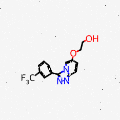 OCCOc1ccc2nnc(-c3cccc(C(F)(F)F)c3)n2c1